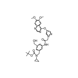 COc1cc2ncnc(Oc3cnn(CC(=O)Nc4cc(CO)cc(CN(C(=O)OC(C)(C)C)C5CC5)c4)c3)c2cc1OC